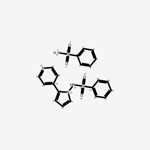 NS(=O)(=O)c1ccccc1.O=S(=O)(Nn1cccc1-c1ccncc1)c1ccccc1